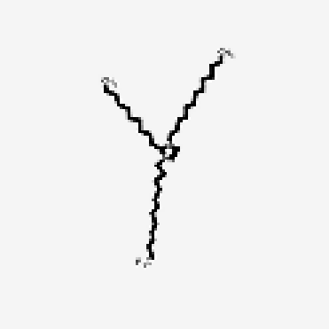 CCCCCCCCCCCCCN1C=CN(CCCCCCCCCCCCC)C1CCCCCCCCCC